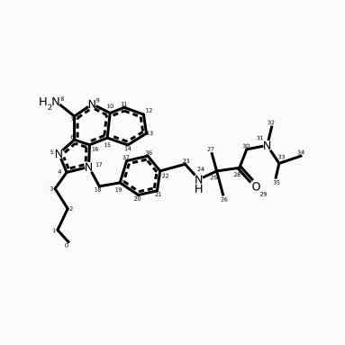 CCCCc1nc2c(N)nc3ccccc3c2n1Cc1ccc(CNC(C)(C)C(=O)CN(C)C(C)C)cc1